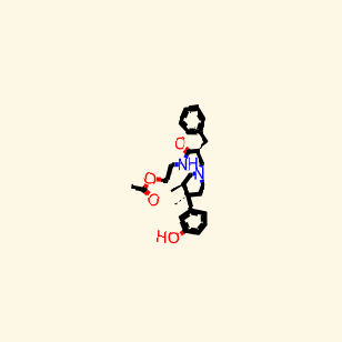 CC(=O)OCCNC(=O)[C@@H](Cc1ccccc1)CN1CC[C@@](C)(c2cccc(O)c2)[C@@H](C)C1